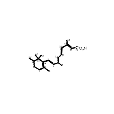 CC(C=CC1=C(C)CCC(C)C1(C)C)=CC=CC(C)=CC(=O)O